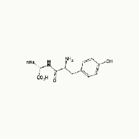 CCCC[C@H](NC(=O)[C@@H](N)Cc1ccc(O)cc1)C(=O)O